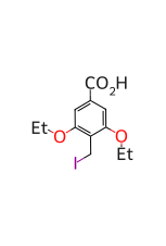 CCOc1cc(C(=O)O)cc(OCC)c1CI